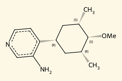 CO[C@@H]1[C@H](C)C[C@H](c2ccncc2N)C[C@@H]1C